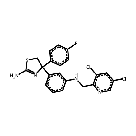 NC1=NC(c2ccc(F)cc2)(c2cccc(NCc3ncc(Cl)cc3Cl)c2)CS1